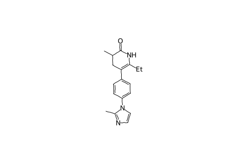 CCC1=C(c2ccc(-n3ccnc3C)cc2)CC(C)C(=O)N1